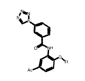 CCOc1ccc(C(C)=O)cc1NC(=O)c1cccc(-n2cnnn2)c1